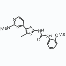 CNc1nccc(-c2sc(NC(=O)Nc3ccccc3OC)nc2C)n1